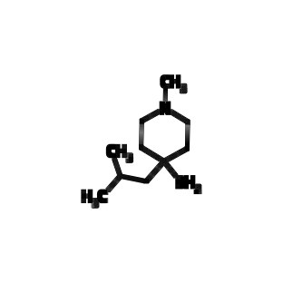 BC1(CC(C)C)CCN(C)CC1